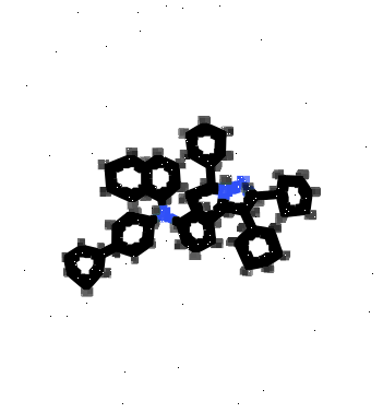 c1ccc(-c2ccc(N(c3cccc4ccccc34)c3cccc4c3cc(-c3ccccc3)n3nc(-c5ccccc5)c(-c5ccccc5)c43)cc2)cc1